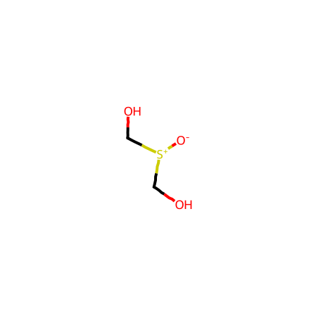 [O-][S+](CO)CO